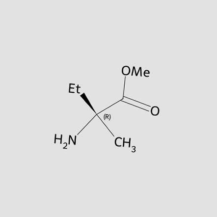 [CH2]OC(=O)[C@](C)(N)CC